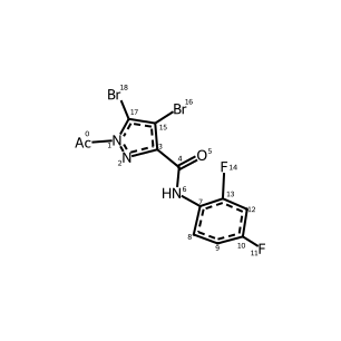 CC(=O)n1nc(C(=O)Nc2ccc(F)cc2F)c(Br)c1Br